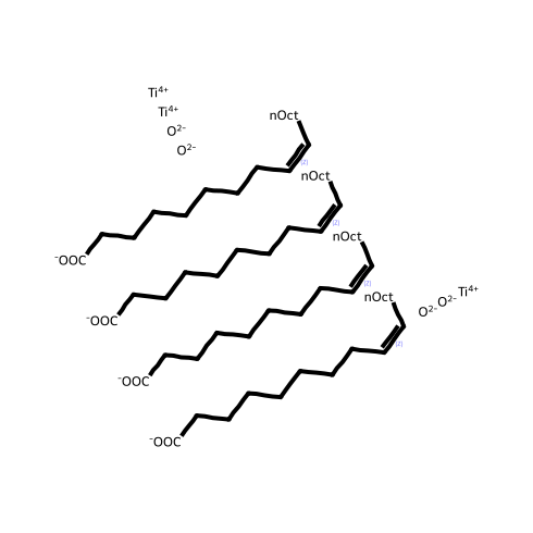 CCCCCCCC/C=C\CCCCCCCC(=O)[O-].CCCCCCCC/C=C\CCCCCCCC(=O)[O-].CCCCCCCC/C=C\CCCCCCCC(=O)[O-].CCCCCCCC/C=C\CCCCCCCC(=O)[O-].[O-2].[O-2].[O-2].[O-2].[Ti+4].[Ti+4].[Ti+4]